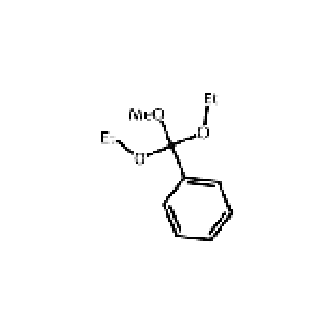 CCOC(OC)(OCC)c1ccccc1